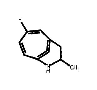 CC1CC2=C=C(C=CC(F)=C2)N1